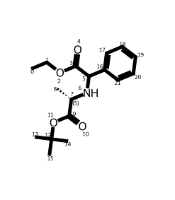 CCOC(=O)C(N[C@@H](C)C(=O)OC(C)(C)C)c1ccccc1